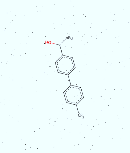 CCCC[C@@H](O)c1ccc(-c2ccc(C(F)(F)F)cc2)cc1